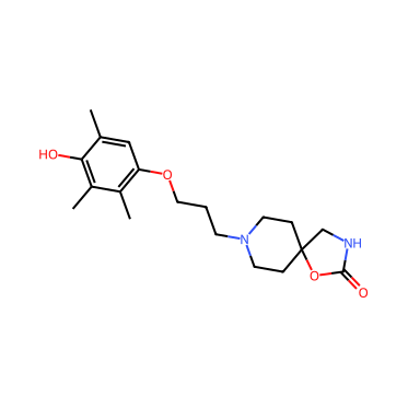 Cc1cc(OCCCN2CCC3(CC2)CNC(=O)O3)c(C)c(C)c1O